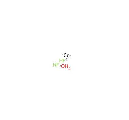 F.F.O.[Co]